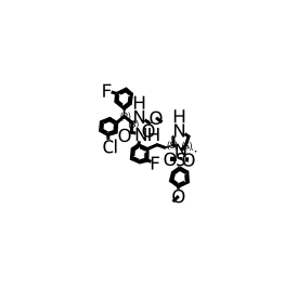 COC(=O)N[C@H](C(=O)Nc1cccc(F)c1CC[C@H]1CNC[C@H](C)N1S(=O)(=O)c1ccc(OC)cc1)[C@H](c1cccc(F)c1)c1cccc(Cl)c1